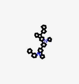 c1ccc(-c2cccc(-n3c4ccccc4c4cc(-c5ccc6c(c5)c5cc7c(cc5n6-c5ccccc5)C(c5ccc6ccccc6c5)c5ccccc5-7)ccc43)c2)cc1